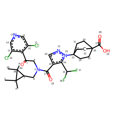 CC1(C)C(CN(CC(=O)c2c(Cl)cncc2Cl)C(=O)c2cnn(C34CCC(C(=O)O)(CC3)CC4)c2C(F)F)C1(C)C